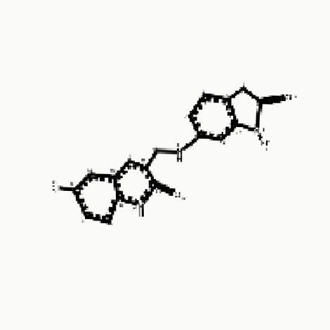 CCN1C(=O)Cc2ccc(NCc3cc4cc(Cl)ccc4[nH]c3=O)cc21